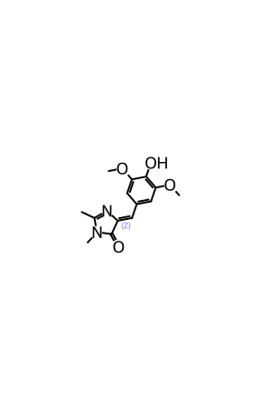 COc1cc(/C=C2\N=C(C)N(C)C2=O)cc(OC)c1O